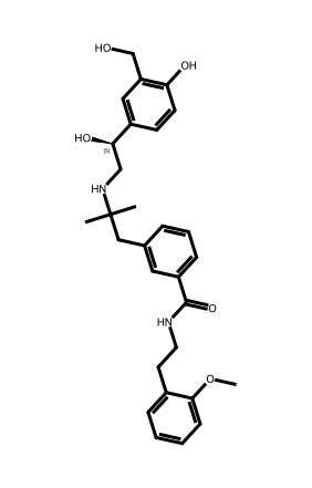 COc1ccccc1CCNC(=O)c1cccc(CC(C)(C)NC[C@@H](O)c2ccc(O)c(CO)c2)c1